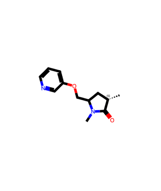 C[C@H]1CC(COc2cccnc2)N(C)C1=O